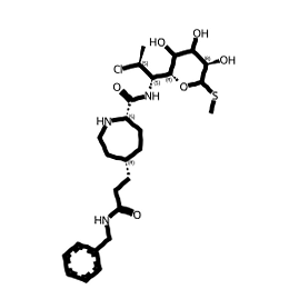 CSC1O[C@H]([C@H](NC(=O)[C@@H]2CC[C@H](CCC(=O)NCc3ccccc3)CCN2)[C@H](C)Cl)C(O)C(O)[C@H]1O